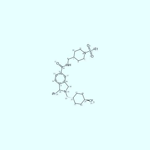 CCS(=O)(=O)N1CCC(CNC(=O)c2ccc3c(c2)CN(C[C@H]2CC[C@H](C(F)(F)F)CC2)C3C(C)C)CC1